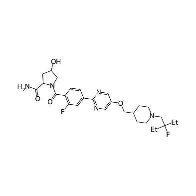 CCC(F)(CC)CN1CCC(COc2cnc(-c3ccc(C(=O)N4CC(O)CC4C(N)=O)c(F)c3)nc2)CC1